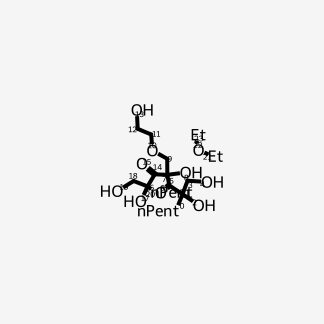 CCCCCC(O)(CO)C(=O)C(O)(COCCO)C(=O)C(O)(CO)CCCCC.CCOCC